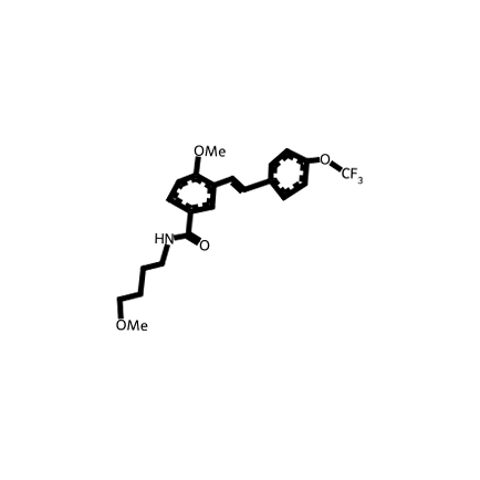 COCCCCNC(=O)c1ccc(OC)c(C=Cc2ccc(OC(F)(F)F)cc2)c1